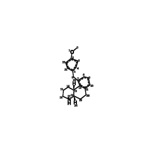 COc1ccc(Cc2cccc3c2[C@H]2CCCN[C@H]2CC3)cc1